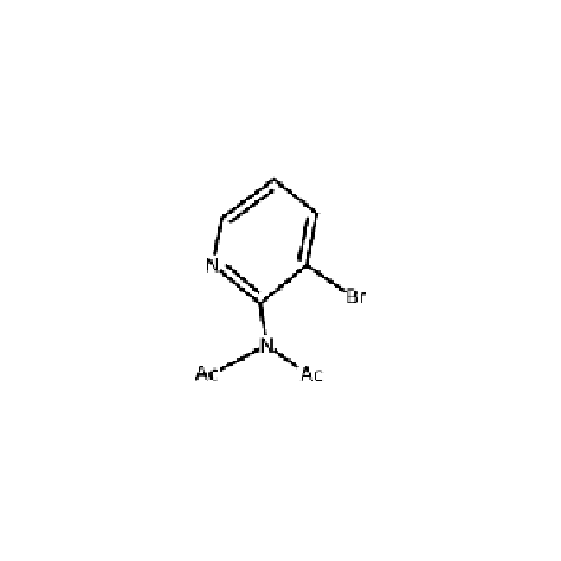 CC(=O)N(C(C)=O)c1ncccc1Br